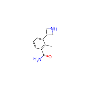 Cc1c(C(N)=O)cccc1C1CNC1